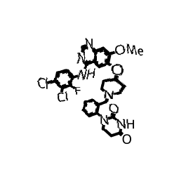 COc1cc2ncnc(Nc3ccc(Cl)c(Cl)c3F)c2cc1OC1CCN(Cc2ccccc2N2CCC(=O)NC2=O)CC1